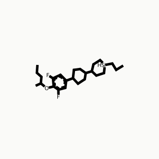 CCCC(C)Oc1c(F)cc(C2CCC(C3CC[SiH](CCC)CC3)CC2)cc1F